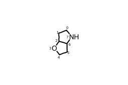 C1CC2OCCC2N1